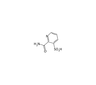 NC(=O)c1ncccc1S(=O)(=O)O